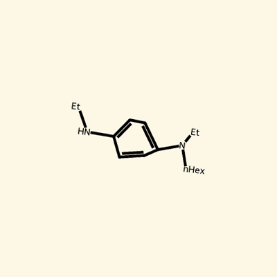 CCCCCCN(CC)c1ccc(NCC)cc1